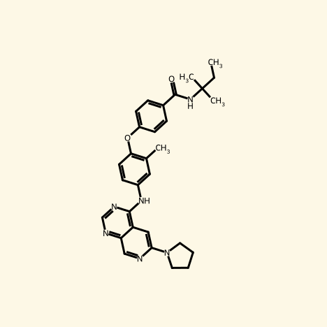 CCC(C)(C)NC(=O)c1ccc(Oc2ccc(Nc3ncnc4cnc(N5CCCC5)cc34)cc2C)cc1